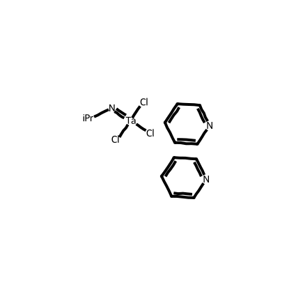 CC(C)[N]=[Ta]([Cl])([Cl])[Cl].c1ccncc1.c1ccncc1